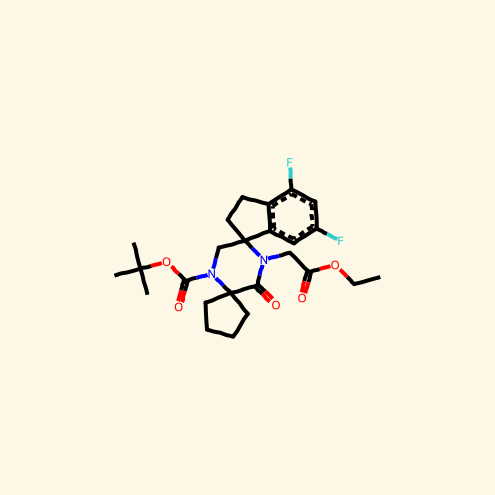 CCOC(=O)CN1C(=O)C2(CCCC2)N(C(=O)OC(C)(C)C)CC12CCc1c(F)cc(F)cc12